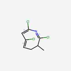 CC1C/C=C(Cl)/C=C(Cl)\N=C/1Cl